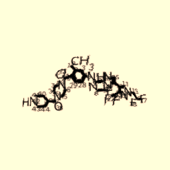 CCc1cc(Nc2nccn3c(-c4cn(CC(F)F)nc4C(F)(F)F)cnc23)ccc1C(=O)N1CCN(C(=O)C2CCNCC2)CC1